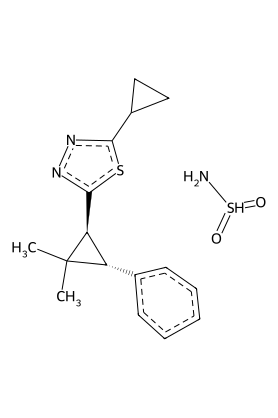 CC1(C)[C@@H](c2ccccc2)[C@@H]1c1nnc(C2CC2)s1.N[SH](=O)=O